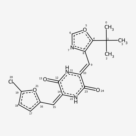 CC(C)(C)c1ocnc1C=c1[nH]c(=O)c(=Cc2ccc(Cl)o2)[nH]c1=O